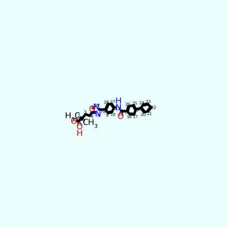 CC(C)(CCc1nc(-c2ccc(NC(=O)c3ccc(-c4ccccc4)cc3)cc2)no1)C(=O)O